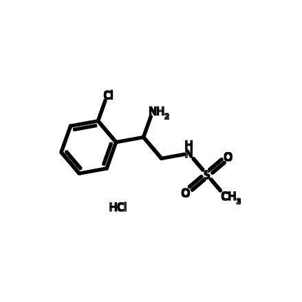 CS(=O)(=O)NCC(N)c1ccccc1Cl.Cl